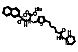 CC(C)(C)OC(=O)[C@H](Cc1ccc(CCCCC(=O)NC2=NCCCN2)s1)NS(=O)(=O)c1ccc2ccccc2c1